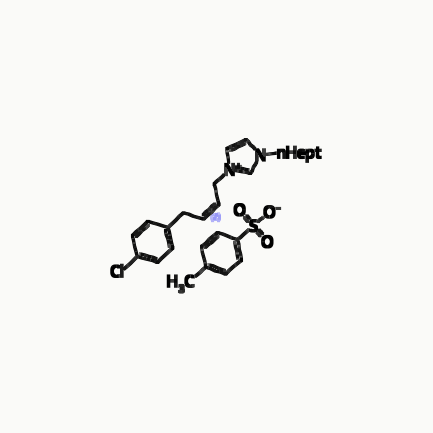 CCCCCCCn1cc[n+](C/C=C\Cc2ccc(Cl)cc2)c1.Cc1ccc(S(=O)(=O)[O-])cc1